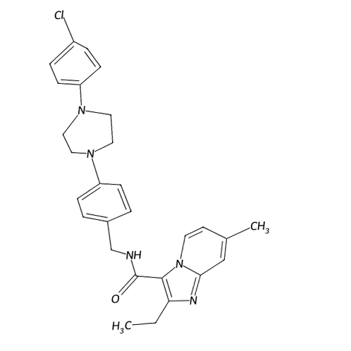 CCc1nc2cc(C)ccn2c1C(=O)NCc1ccc(N2CCN(c3ccc(Cl)cc3)CC2)cc1